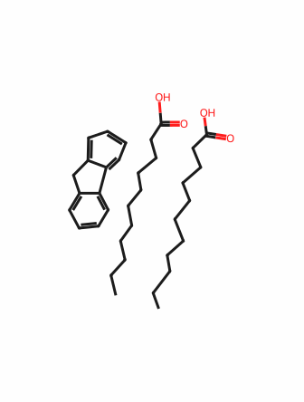 CCCCCCCCCCC(=O)O.CCCCCCCCCCC(=O)O.c1ccc2c(c1)Cc1ccccc1-2